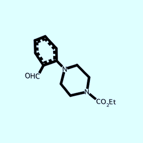 CCOC(=O)N1CCN(c2ccccc2C=O)CC1